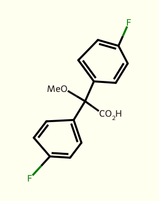 COC(C(=O)O)(c1ccc(F)cc1)c1ccc(F)cc1